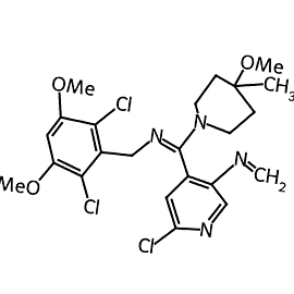 C=Nc1cnc(Cl)cc1/C(=N\Cc1c(Cl)c(OC)cc(OC)c1Cl)N1CCC(C)(OC)CC1